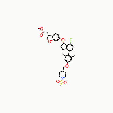 COC(=O)C[C@@H]1COc2cc(O[C@@H]3CCc4c(-c5c(C)cc(OCC6CCN(S(C)(=O)=O)CC6)cc5C)ccc(F)c43)ccc21